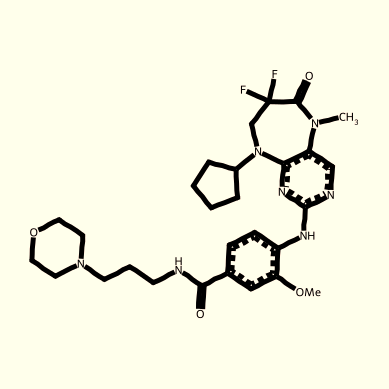 COc1cc(C(=O)NCCCN2CCOCC2)ccc1Nc1ncc2c(n1)N(C1CCCC1)CC(F)(F)C(=O)N2C